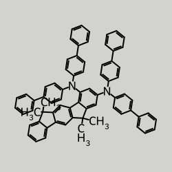 CC1(C)c2ccccc2-c2cc3c(cc21)-c1c(N(c2ccc(-c4ccccc4)cc2)c2ccc(-c4ccccc4)cc2)cc(N(c2ccc(-c4ccccc4)cc2)c2ccc(-c4ccccc4)cc2)cc1C3(C)C